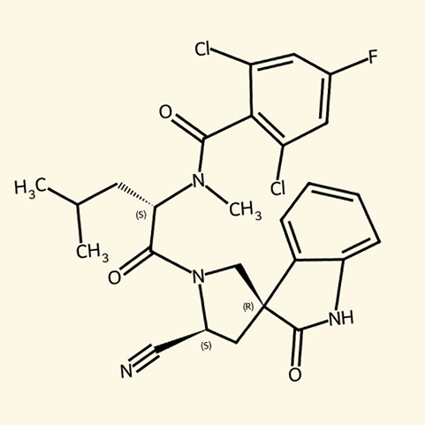 CC(C)C[C@@H](C(=O)N1C[C@]2(C[C@H]1C#N)C(=O)Nc1ccccc12)N(C)C(=O)c1c(Cl)cc(F)cc1Cl